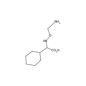 NCOBC(C(=O)O)C1CCCCC1